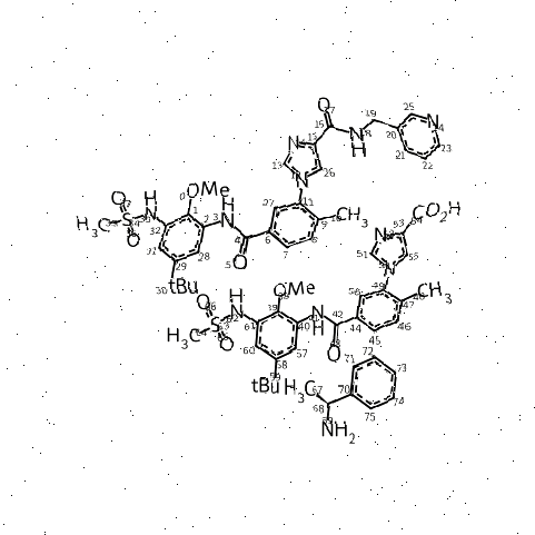 COc1c(NC(=O)c2ccc(C)c(-n3cnc(C(=O)NCc4cccnc4)c3)c2)cc(C(C)(C)C)cc1NS(C)(=O)=O.COc1c(NC(=O)c2ccc(C)c(-n3cnc(C(=O)O)c3)c2)cc(C(C)(C)C)cc1NS(C)(=O)=O.C[C@H](N)c1ccccc1